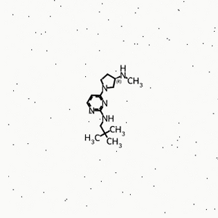 CN[C@@H]1CCN(c2ccnc(NCC(C)(C)C)n2)C1